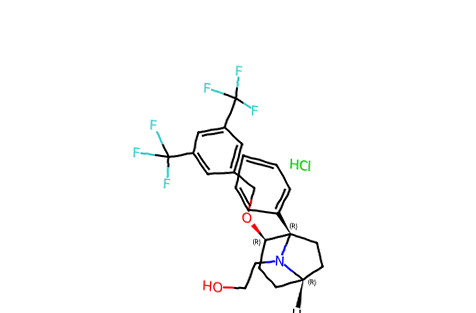 Cl.OCCN1[C@H]2CC[C@@H](OCc3cc(C(F)(F)F)cc(C(F)(F)F)c3)[C@]1(c1ccccc1)CC2